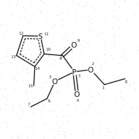 CCOP(=O)(OCC)C(=O)c1sccc1C